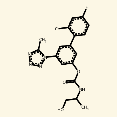 Cc1nnnn1-c1cc(OC(=O)NC(C)CO)cc(-c2ccc(F)cc2Cl)c1